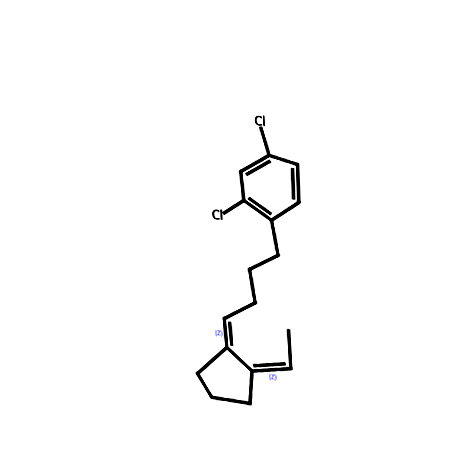 C/C=C1/CCC/C1=C/CCCc1ccc(Cl)cc1Cl